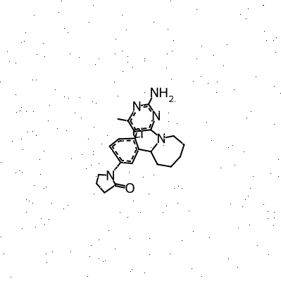 Cc1cc(N2CCCCCC2c2cc(N3CCCC3=O)ccc2Cl)nc(N)n1